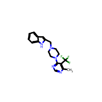 Cc1ncnc(N2CCN(Cc3cc4ccccc4[nH]3)CC2)c1C(F)(F)F